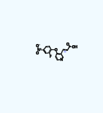 O=C(O)/C=C/c1cnccc1Oc1ccc([N+](=O)[O-])cc1F